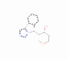 O[C@H]1CCOC[C@@H]1[C@@H]1c2ccccc2-c2cncn21